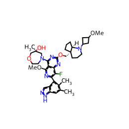 COc1nc(-c2c(C)c(C)cc3[nH]ncc23)c(F)c2nc(OC[C@]34CCC[C@H]3N(C3CC(OC)C3)CCC4)nc(N3CCOC[C@@](C)(O)C3)c12